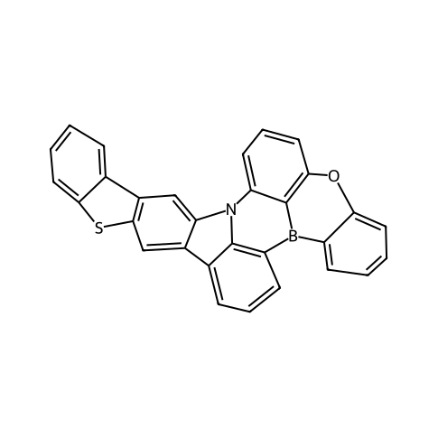 c1ccc2c(c1)Oc1cccc3c1B2c1cccc2c4cc5sc6ccccc6c5cc4n-3c12